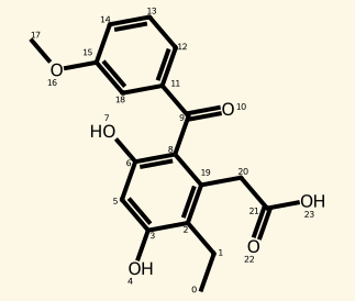 CCc1c(O)cc(O)c(C(=O)c2cccc(OC)c2)c1CC(=O)O